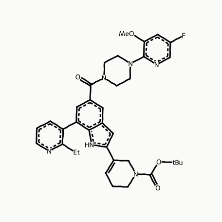 CCc1ncccc1-c1cc(C(=O)N2CCN(c3ncc(F)cc3OC)CC2)cc2cc(C3=CCCN(C(=O)OC(C)(C)C)C3)[nH]c12